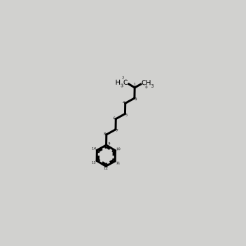 C[C](C)CCCCCCc1ccccc1